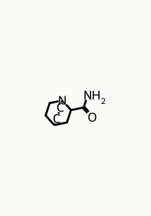 NC(=O)C1CC2CCN1CC2